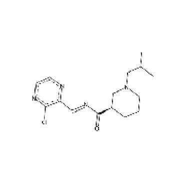 C[C](C)CN1CCC[C@@H](C(=O)N=Cc2nccnc2Cl)C1